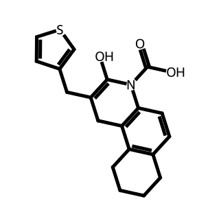 O=C(O)N1C(O)=C(Cc2ccsc2)Cc2c1ccc1c2CCCC1